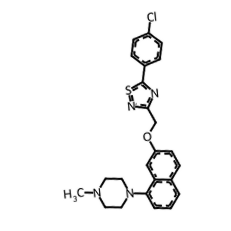 CN1CCN(c2cccc3ccc(OCc4nsc(-c5ccc(Cl)cc5)n4)cc23)CC1